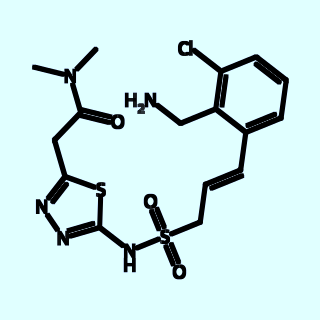 CN(C)C(=O)Cc1nnc(NS(=O)(=O)CC=Cc2cccc(Cl)c2CN)s1